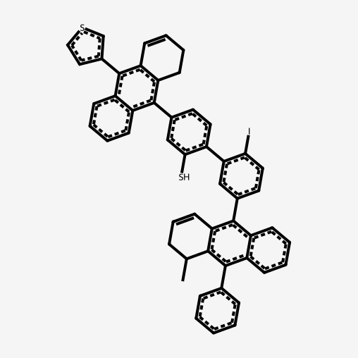 CC1CC=Cc2c1c(-c1ccccc1)c1ccccc1c2-c1ccc(I)c(-c2ccc(-c3c4c(c(-c5ccsc5)c5ccccc35)C=CCC4)cc2S)c1